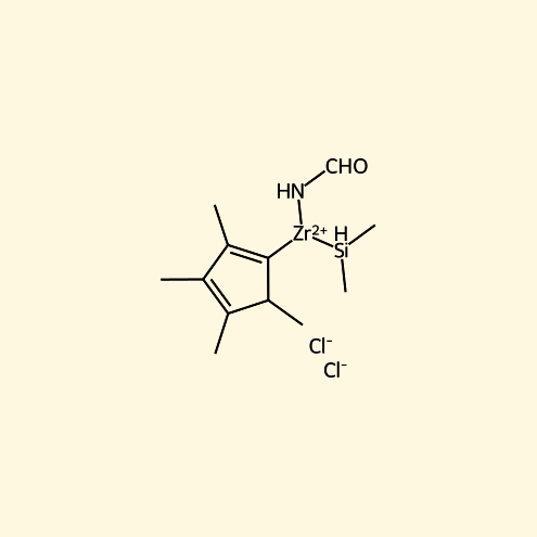 CC1=C(C)C(C)[C]([Zr+2]([NH]C=O)[SiH](C)C)=C1C.[Cl-].[Cl-]